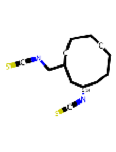 S=C=NCC1CCCCCCC[C@H](N=C=S)C1